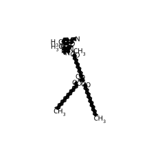 CCCCCCCCCCCCCCCC(=O)OCC(COC(=O)CCCCCCCCCCCCCCC)OC(=O)CCCCCCCCC(=O)OC(C)n1ccc2c(N(C)[C@H]3CN(C(=O)CC#N)CC[C@H]3C)ncnc21